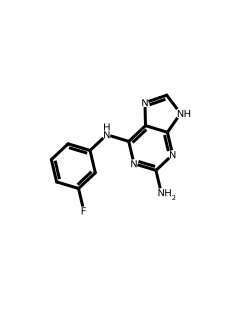 Nc1nc(Nc2cccc(F)c2)c2nc[nH]c2n1